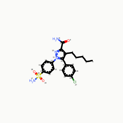 CCCCCc1c(C(N)=O)nn(-c2ccc(S(N)(=O)=O)cc2)c1-c1ccc(Cl)cc1